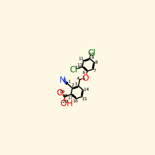 N#Cc1c(COc2ccc(Cl)cc2Cl)cccc1C(=O)O